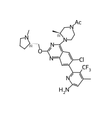 CC(=O)N1CCN(c2nc(OC[C@@H]3CCCN3C)nc3cc(-c4nc(N)cc(C)c4C(F)(F)F)c(Cl)cc23)[C@@H](C)C1